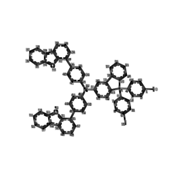 Ic1ccc(C2(c3ccc(I)cc3)c3ccccc3-c3cc(N(c4ccc(-c5cccc6c5oc5ccccc56)cc4)c4ccc(-c5cccc6c5oc5ccccc56)cc4)ccc32)cc1